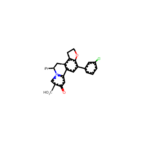 CC(C)C1Cc2c(cc(-c3cccc(Cl)c3)c3c2CCO3)-c2cc(=O)c(C(=O)O)cn21